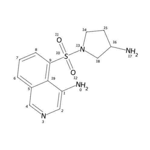 Nc1cncc2cccc(S(=O)(=O)N3CCC(N)C3)c12